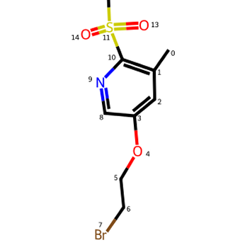 Cc1cc(OCCBr)cnc1S(C)(=O)=O